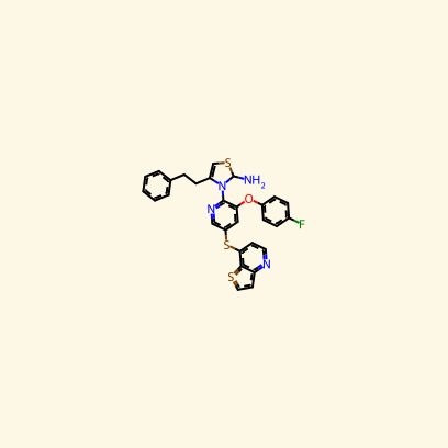 NC1SC=C(CCc2ccccc2)N1c1ncc(Sc2ccnc3ccsc23)cc1Oc1ccc(F)cc1